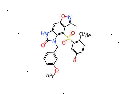 CCCOc1cccc(Cn2c(=O)[nH]c3cc4onc(C)c4c(S(=O)(=O)c4cc(Br)ccc4OC)c32)c1